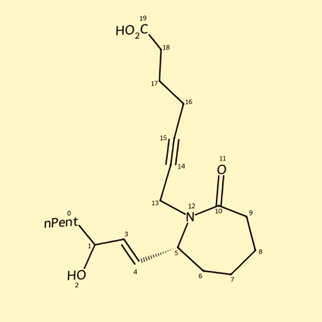 CCCCCC(O)/C=C/[C@H]1CCCCC(=O)N1CC#CCCCC(=O)O